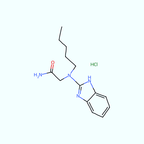 CCCCCN(CC(N)=O)c1nc2ccccc2[nH]1.Cl